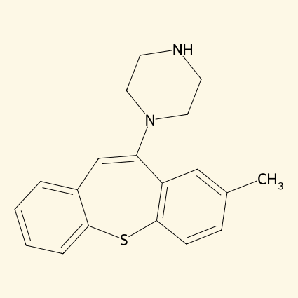 Cc1ccc2c(c1)C(N1CCNCC1)=Cc1ccccc1S2